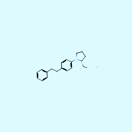 O=C(O)C[C@@H]1CCCN1c1ccc(CCc2ccccc2)cc1